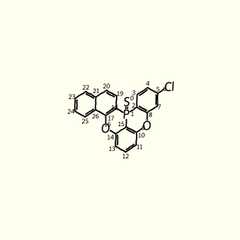 S=P12c3ccc(Cl)cc3Oc3cccc(c31)Oc1c2ccc2ccccc12